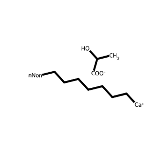 CC(O)C(=O)[O-].CCCCCCCCCCCCCCC[CH2][Ca+]